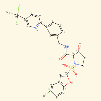 O=C(NCc1cccc(-c2ccc(C(F)(F)F)cn2)c1)[C@@H]1[C@@H](O)CCN1S(=O)(=O)c1cc2cc(F)ccc2o1